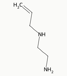 C=CCNCCN